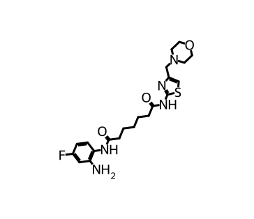 Nc1cc(F)ccc1NC(=O)CCCCCC(=O)Nc1nc(CN2CCOCC2)cs1